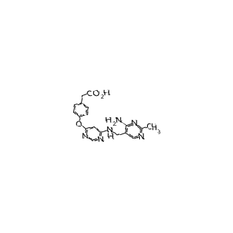 Cc1ncc(CNc2cc(Oc3ccc(CC(=O)O)cc3)ncn2)c(N)n1